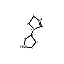 C1=NCCN1C1CCNC1